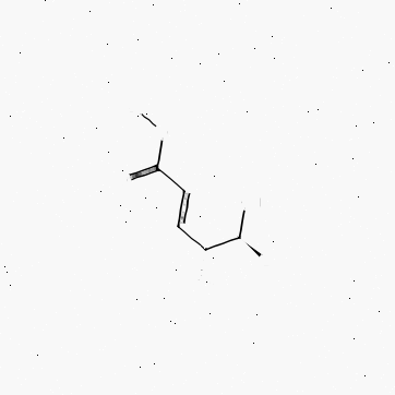 CCC[C@H](/C=C/C(=O)OC(C)(C)C)[C@@H](O)CC